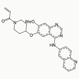 C=CC(=O)N1CCC(Oc2cc3c(Nc4ccc5ncccc5c4)ncnc3cc2OC)CC1